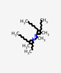 CCCCCCCCc1cc(N=CC(C)=Nc2cc(C)c(CCCCCC)c(CCCCCCCC)c2)cc(CCCC)c1C